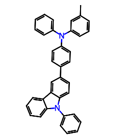 Cc1cccc(N(c2ccccc2)c2ccc(-c3ccc4c(c3)c3ccccc3n4-c3ccccc3)cc2)c1